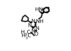 CC1(C)COc2nc3c(NCCc4c[nH]c5ccccc45)nc(C4CCCCC4)nc3n21